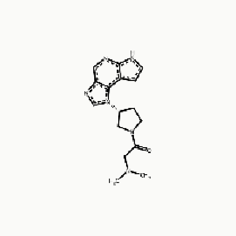 CN(C)CC(=O)N1CC[C@@H](n2cnc3cnc4[nH]ccc4c32)C1